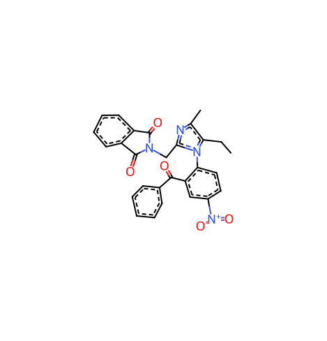 CCc1c(C)nc(CN2C(=O)c3ccccc3C2=O)n1-c1ccc([N+](=O)[O-])cc1C(=O)c1ccccc1